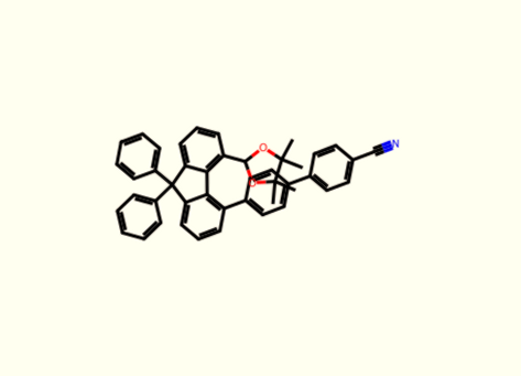 CC1(C)OC(c2cccc3c2-c2c(-c4ccc(-c5ccc(C#N)cc5)cc4)cccc2C3(c2ccccc2)c2ccccc2)OC1(C)C